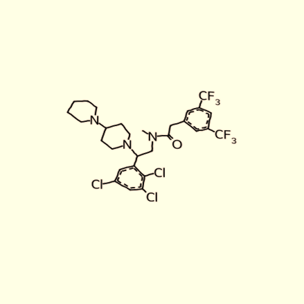 CN(CC(c1cc(Cl)cc(Cl)c1Cl)N1CCC(N2CCCCC2)CC1)C(=O)Cc1cc(C(F)(F)F)cc(C(F)(F)F)c1